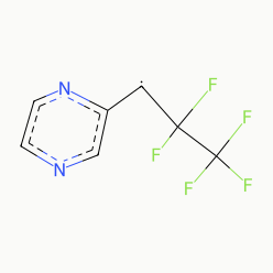 FC(F)(F)C(F)(F)[CH]c1cnccn1